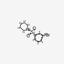 O=S(=O)(c1cccc(Br)c1)N1[CH]CCCC1